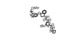 COCC(C)(C)c1nnc2ccc(O[C@@H]3CC[C@H](NC(=O)Nc4cc(C(C)(C)C)nc(C(=O)NCC5(N(C)C)CCCC5)n4)c4ccccc43)cn12